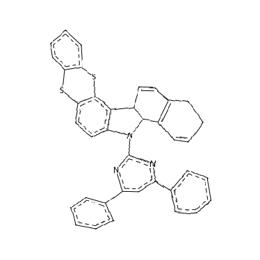 C1=CC2=C(C=CC3c4c(ccc5c4Sc4ccccc4S5)N(c4nc(-c5ccccc5)cc(-c5ccccc5)n4)C23)CC1